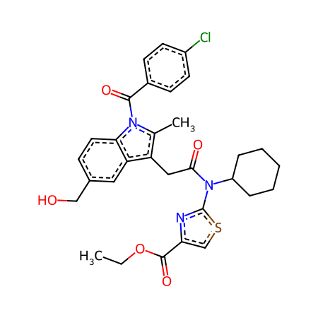 CCOC(=O)c1csc(N(C(=O)Cc2c(C)n(C(=O)c3ccc(Cl)cc3)c3ccc(CO)cc23)C2CCCCC2)n1